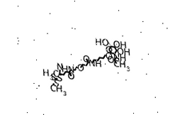 CCSC(=S)SC(C)(C#N)CCC(=O)NCCOCCC(=O)NCCCCCO[C@@H]1O[C@H](CO)[C@H](O)[C@H](O)[C@H]1NC(C)=O